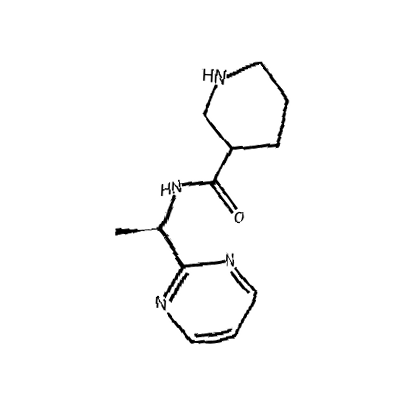 C[C@@H](NC(=O)C1CCCNC1)c1ncccn1